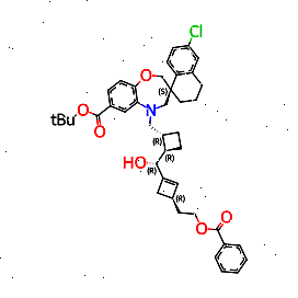 CC(C)(C)OC(=O)c1ccc2c(c1)N(C[C@@H]1CC[C@H]1[C@@H](O)C1=C[C@@H](CCOC(=O)c3ccccc3)C1)C[C@@]1(CCCc3cc(Cl)ccc31)CO2